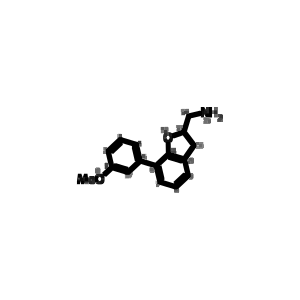 COc1cccc(-c2cccc3c2OC(CN)C3)c1